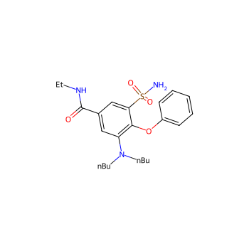 CCCCN(CCCC)c1cc(C(=O)NCC)cc(S(N)(=O)=O)c1Oc1ccccc1